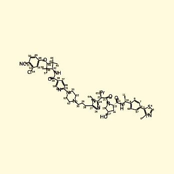 Cc1ncsc1-c1ccc([C@H](C)NC(=O)[C@@H]2C[C@@H](O)CN2C(=O)[C@@H](c2ncc(CCCN3CCN(c4ccc(C(=O)NC5C(C)(C)C(Oc6ccc(C#N)c(Cl)c6)C5(C)C)cn4)CC3)n2C)C(C)C)cc1